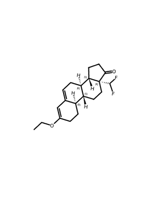 CCOC1=CC2=CC[C@@H]3[C@H](CC[C@]4(C(F)F)C(=O)CC[C@@H]34)[C@H]2CC1